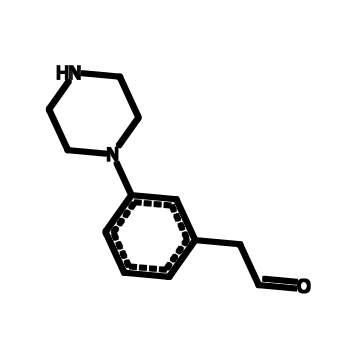 O=CCc1cccc(N2CCNCC2)c1